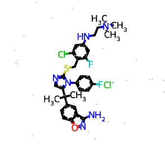 CC(C)(c1ccc2onc(N)c2c1)c1cnc(SCc2c(F)cc(NCC[N+](C)(C)C)cc2Cl)n1-c1ccc(F)cc1.[Cl-]